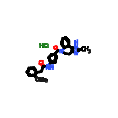 COc1ccccc1CC(=O)Nc1ccc(C(=O)N2CCc3nc(C)[nH]c3-c3ccccc32)cc1.Cl